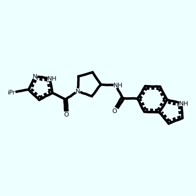 CC(C)c1cc(C(=O)N2CCC(NC(=O)c3ccc4[nH]ccc4c3)C2)[nH]n1